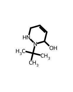 CC(C)(C)N1NCC=CC1O